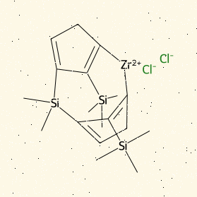 C[Si](C)(C)C1=[C]2CC=C1[Si](C)(C)C1=CC[C](=C1[Si](C)(C)C)[Zr+2]2.[Cl-].[Cl-]